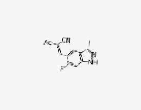 CC(=O)C(C#N)=Cc1cc2c(C)n[nH]c2cc1F